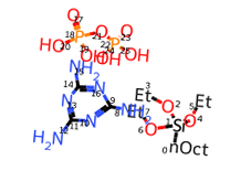 CCCCCCCC[Si](OCC)(OCC)OCC.Nc1nc(N)nc(N)n1.O=P(O)(O)OP(=O)(O)O